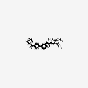 CCN(CCc1cc2cc(-c3ccc(C(=O)N4CCOCC4)cn3)ccc2o1)C(C)C